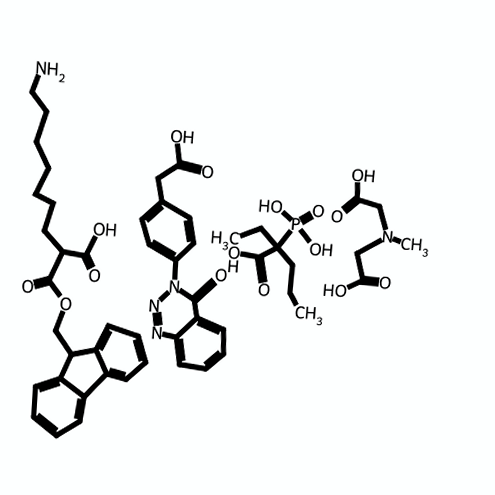 CCCC(CC)(C(=O)O)P(=O)(O)O.CN(CC(=O)O)CC(=O)O.NCCCCCCCC(C(=O)O)C(=O)OCC1c2ccccc2-c2ccccc21.O=C(O)Cc1ccc(-n2nnc3ccccc3c2=O)cc1